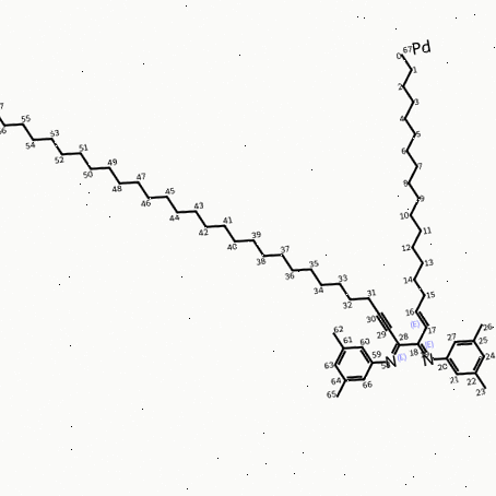 CCCCCCCCCCCCCCCC/C=C/C(=N\c1cc(C)cc(C)c1)C(/C#CCCCCCCCCCCCCCCCCCCCCCCCCCCC)=N/c1cc(C)cc(C)c1.[Pd]